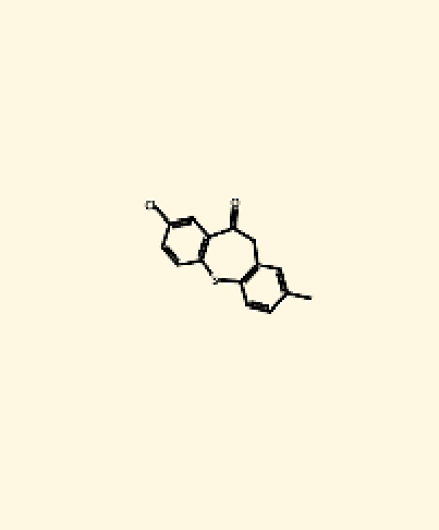 Cc1ccc2c(c1)CC(=O)c1cc(Cl)ccc1S2